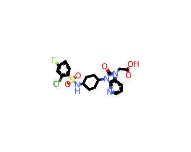 O=C(O)Cn1c(=O)n(C2CCC(NS(=O)(=O)c3ccc(F)cc3Cl)CC2)c2ncccc21